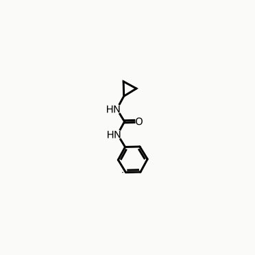 O=C(Nc1c[c]ccc1)NC1CC1